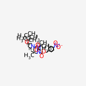 CC(C)(CNC(=O)OCc1ccc([N+](=O)[O-])cc1)C[C@@H]1C[C@@H](O[Si](C)(C)C(C)(C)C)CN1C(=O)OC(C)(C)C